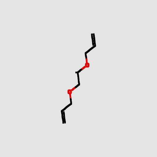 C=CCO[CH]COCC=C